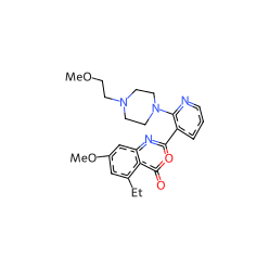 CCc1cc(OC)cc2nc(-c3cccnc3N3CCN(CCOC)CC3)oc(=O)c12